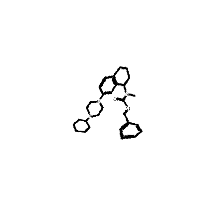 CN(C(=O)OCc1ccccc1)C1CCCc2ccc(N3CCN(C4CCCCC4)CC3)cc21